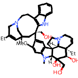 CCC1=C[C@@H]2CN(CCc3c([nH]c4ccccc34)[C@@](CO)(c3cc4c(cc3OC)N(C)[C@H]3C(O)(CO)[C@H](O)[C@]5(CC)C=CCN6CC[C@]43[C@@H]65)C2)C1